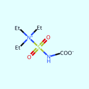 CC[N+](CC)(CC)S(=O)(=O)NC(=O)[O-]